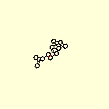 c1ccc(-c2ccccc2N(c2ccc(-c3ccc4c(c3)c3ccccc3n4-c3ccccc3)cc2)c2cccc3c2-c2ccccc2C32c3ccccc3-c3ccc4c(sc5ccccc54)c32)cc1